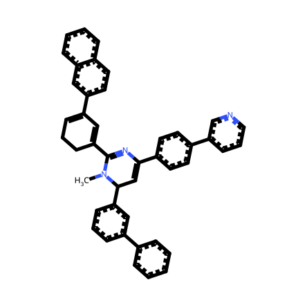 CN1C(C2=CC(c3ccc4ccccc4c3)=CCC2)=NC(c2ccc(-c3cccnc3)cc2)=CC1c1cccc(-c2ccccc2)c1